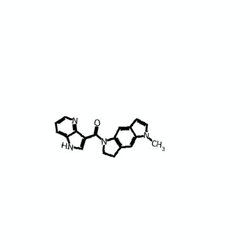 Cn1ccc2cc3c(cc21)CCN3C(=O)c1c[nH]c2cccnc12